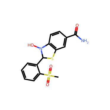 CS(=O)(=O)c1ccccc1C1Sc2cc(C(N)=O)ccc2N1O